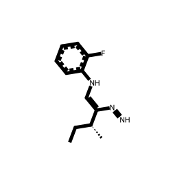 CC[C@@H](C)/C(=C/Nc1ccccc1F)N=N